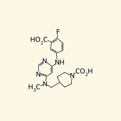 CN(CC1CCN(C(=O)O)CC1)c1cc(Nc2ccc(F)c(C(=O)O)c2)ncn1